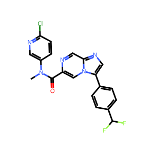 CN(C(=O)c1cn2c(-c3ccc(C(F)F)cc3)cnc2cn1)c1ccc(Cl)nc1